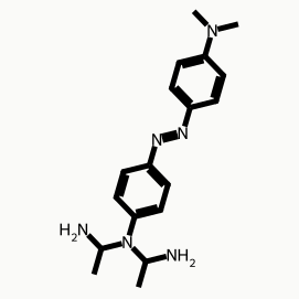 CC(N)N(c1ccc(N=Nc2ccc(N(C)C)cc2)cc1)C(C)N